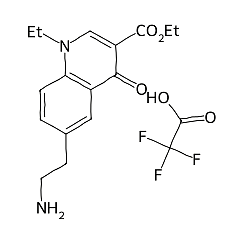 CCOC(=O)c1cn(CC)c2ccc(CCN)cc2c1=O.O=C(O)C(F)(F)F